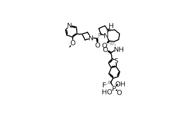 COc1ccncc1C1CN(C(=O)[C@@H]2CC[C@@H]3CCC[C@H](NC(=O)c4cc5cc([C@@H](F)P(=O)(O)O)ccc5s4)C(=O)N32)C1